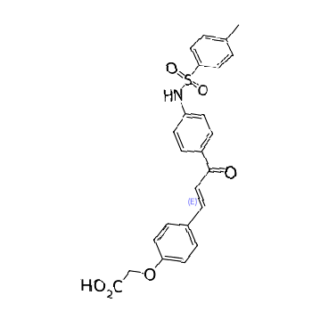 Cc1ccc(S(=O)(=O)Nc2ccc(C(=O)/C=C/c3ccc(OCC(=O)O)cc3)cc2)cc1